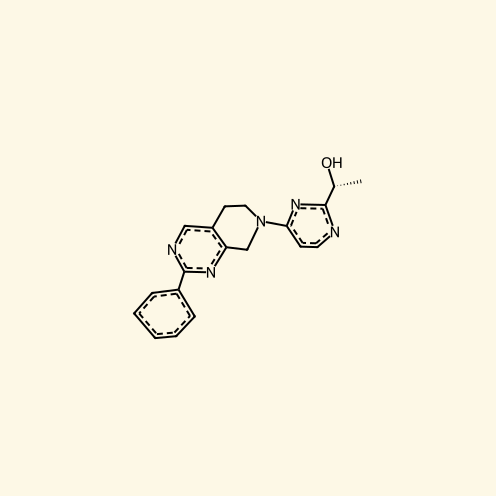 C[C@@H](O)c1nccc(N2CCc3cnc(-c4ccccc4)nc3C2)n1